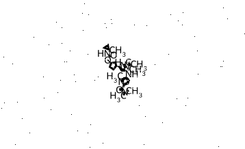 Cc1nc(C(=O)N(C)C)ccc1Nc1cc([C@H]2CC[C@@H](OC(=O)NC3(C)CC3)C2)nn1C(C)(C)C